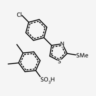 CSc1nc(-c2ccc(Cl)cc2)cs1.Cc1ccc(S(=O)(=O)O)cc1C